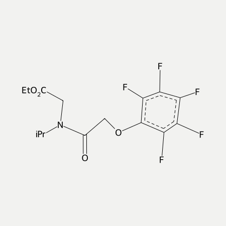 CCOC(=O)CN(C(=O)COc1c(F)c(F)c(F)c(F)c1F)C(C)C